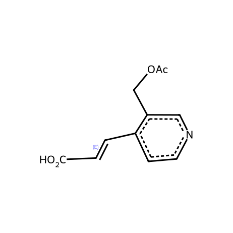 CC(=O)OCc1cnccc1/C=C/C(=O)O